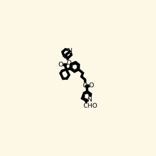 O=Cc1ccc(C(=O)OCCCc2cccc(C3(C(=O)OC4CN5CCC4CC5)CCCCC3)c2)cn1